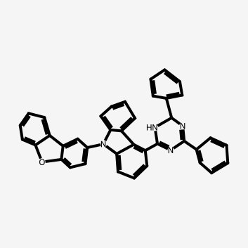 c1ccc(C2=NC(c3ccccc3)NC(c3cccc4c3c3ccccc3n4-c3ccc4oc5ccccc5c4c3)=N2)cc1